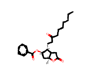 CCCCCCCC(=O)CC[C@@H]1C2CC(=O)O[C@H]2C[C@H]1OC(=O)c1ccccc1